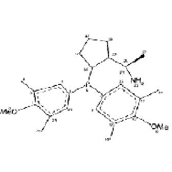 COc1c(C)cc(P(c2cc(C)c(OC)c(C)c2)C2CCCC2[C@@H](C)N)cc1C